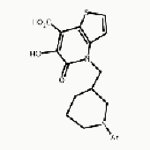 CC(=O)N1CCCC(Cn2c(=O)c(O)c(C(=O)O)c3sccc32)C1